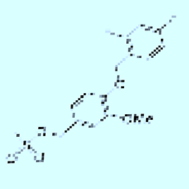 COc1cc(COS(C)(=O)=O)ccc1OCc1ccc(F)cc1F